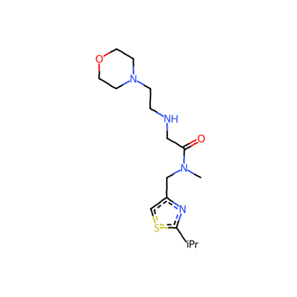 CC(C)c1nc(CN(C)C(=O)CNCCN2CCOCC2)cs1